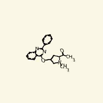 CC(=O)C1CC(Oc2nc(-c3ccccc3)nc3ccccc23)CN1C